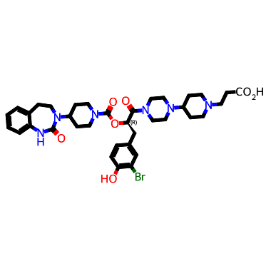 O=C(O)CCN1CCC(N2CCN(C(=O)[C@@H](Cc3ccc(O)c(Br)c3)OC(=O)N3CCC(N4CCc5ccccc5NC4=O)CC3)CC2)CC1